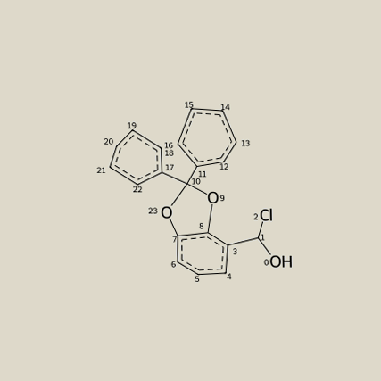 OC(Cl)c1cccc2c1OC(c1ccccc1)(c1ccccc1)O2